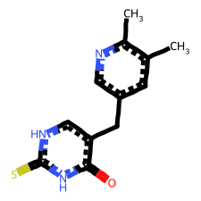 Cc1cc(Cc2c[nH]c(=S)[nH]c2=O)cnc1C